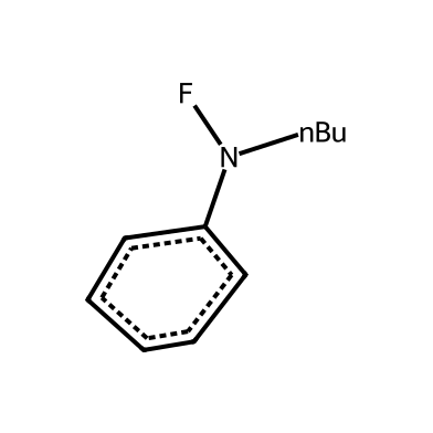 CCCCN(F)c1ccccc1